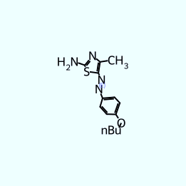 CCCCOc1ccc(/N=N/c2sc(N)nc2C)cc1